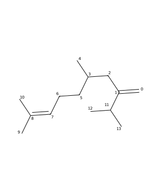 C=C(CC(C)CCC=C(C)C)C(C)C